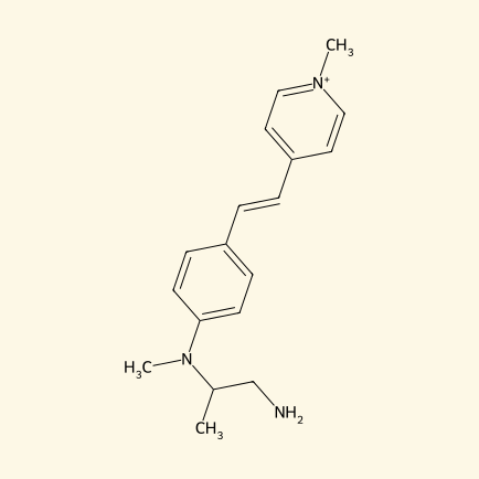 CC(CN)N(C)c1ccc(C=Cc2cc[n+](C)cc2)cc1